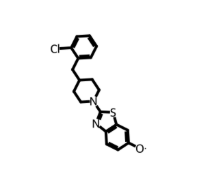 [O]c1ccc2nc(N3CCC(Cc4ccccc4Cl)CC3)sc2c1